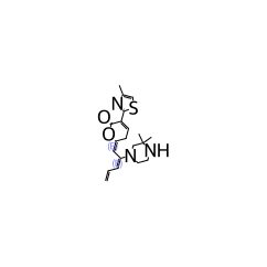 C=C/C=C(\C=C1/CC=C(c2nc(C)cs2)C(=O)O1)N1CCNC(C)(C)C1